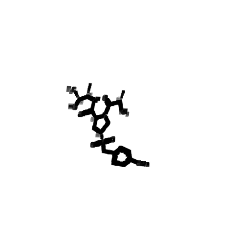 COc1ccc(CS(=O)(=O)[C@@H]2C[C@@H](C(=O)N[C@@H](C)[C@H](O)C(F)(F)F)N(C(=O)[C@H](C)N)C2)cc1